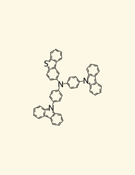 c1ccc2c(c1)sc1ccc(N(c3ccc(-n4c5ccccc5c5ccccc54)cc3)c3ccc(-n4c5ccccc5c5ccccc54)cc3)cc12